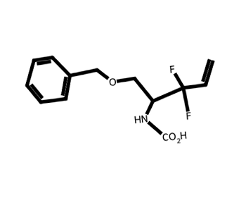 C=CC(F)(F)C(COCc1ccccc1)NC(=O)O